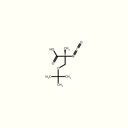 CC(C)(C)OC[C@@](C)(N=C=O)C(=O)O